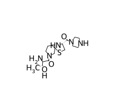 C[C@@H](O)[C@H](N)C(=O)N1CCCC2(C1)N[C@H](C(=O)N1CCNCC1)CS2